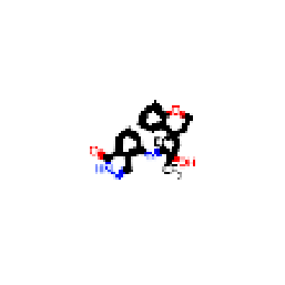 CCC1(CC(O)(/C=N/c2cccc3c(=O)[nH]ncc23)C(F)(F)F)CCOc2ccccc21